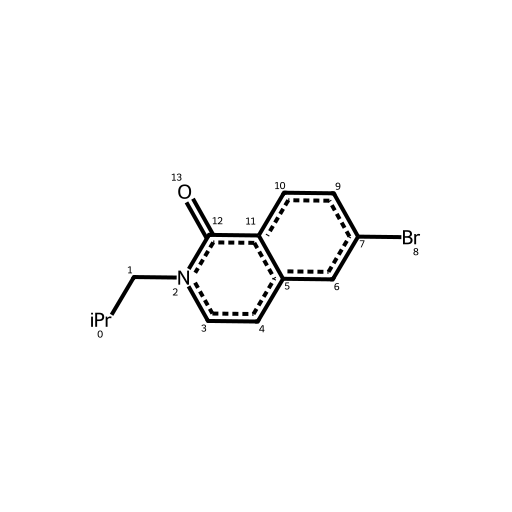 CC(C)Cn1ccc2cc(Br)ccc2c1=O